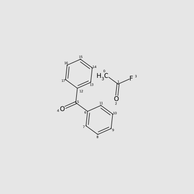 CC(=O)F.O=C(c1ccccc1)c1ccccc1